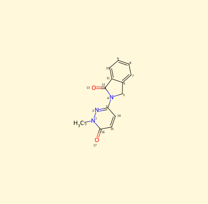 Cn1nc(N2Cc3ccccc3C2=O)ccc1=O